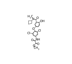 COC(=O)C(=O)Nc1cc(Cl)c(Oc2ccc(O)c(C(=O)N(C)C3CCC3)c2)c(Cl)c1